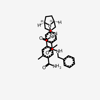 Cc1cc(C(=O)N[C@H]2C[C@H]3CC[C@@H](C2)N3c2ccc(C(=O)NCc3ccccc3)cn2)c(C)cc1C(N)=O